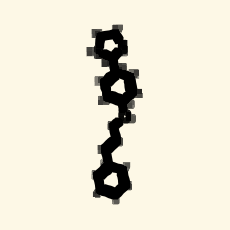 C(=C\c1ccccc1)/COc1ccc(C2SCCS2)cc1